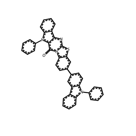 O=c1c2c(nc3sc4cc(-c5ccc6c(c5)c5ccccc5n6-c5ccccc5)ccc4n13)c1ccccc1n2-c1ccccc1